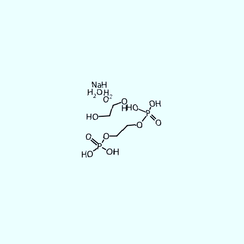 O.O.O=P(O)(O)OCCOP(=O)(O)O.OCCO.[NaH]